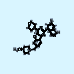 CN1CCN(Cc2ccc3c(n2)oc2c(N4CCOCC4)nc(-c4cc(F)cc5[nH]ncc45)nc23)CC1